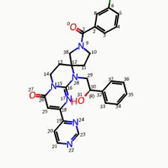 O=C(c1cccc(F)c1)N1CCC2(CCn3c(nc(-c4ccncn4)cc3=O)N2C[C@H](O)c2ccccc2)C1